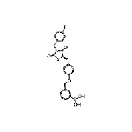 O=C1S/C(=C\c2ccc(OCc3cccc(B(O)O)c3)cc2)C(=O)N1Cc1ccc(F)cc1